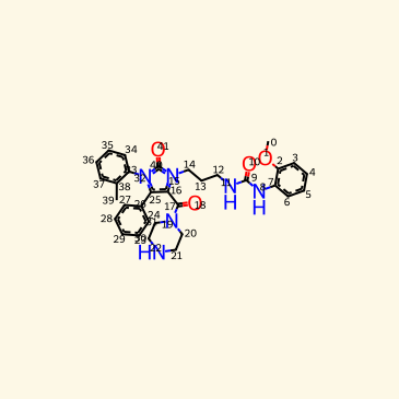 COc1ccccc1NC(=O)NCCCn1c(C(=O)N2CCNCC2)c(-c2ccccc2)n(-c2ccccc2C)c1=O